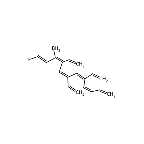 BC(/C=C/F)=C(C=C)/C=C(C=C)\C=C(C=C)/C=C\C=C